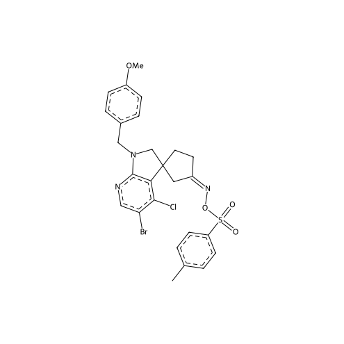 COc1ccc(CN2CC3(CCC(=NOS(=O)(=O)c4ccc(C)cc4)C3)c3c2ncc(Br)c3Cl)cc1